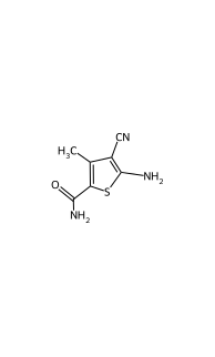 Cc1c(C(N)=O)sc(N)c1C#N